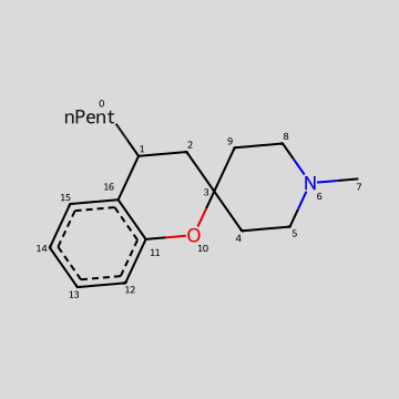 CCCCCC1CC2(CCN(C)CC2)Oc2ccccc21